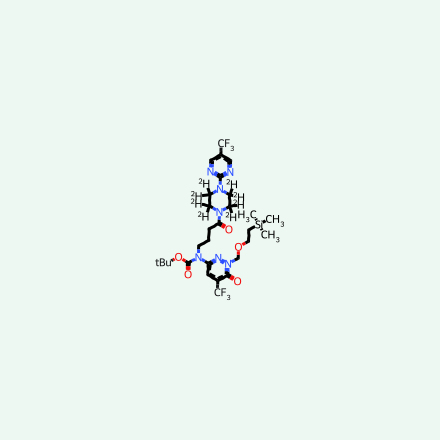 [2H]C1([2H])N(C(=O)CCCN(C(=O)OC(C)(C)C)c2cc(C(F)(F)F)c(=O)n(COCC[Si](C)(C)C)n2)C([2H])([2H])C([2H])([2H])N(c2ncc(C(F)(F)F)cn2)C1([2H])[2H]